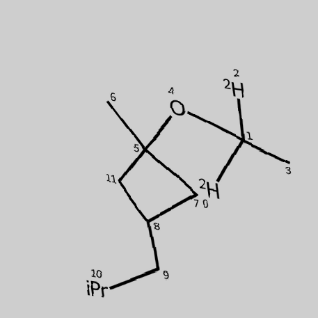 [2H]C([2H])(C)OC1(C)CC(CC(C)C)C1